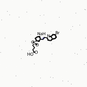 O=C(O)CCCS(=O)(=O)c1cccc(/C=C/c2ccc3ccc(Br)cc3n2)c1.[NaH]